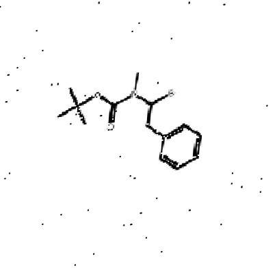 CN(C(=O)OC(C)(C)C)C(Br)Cc1ccccc1